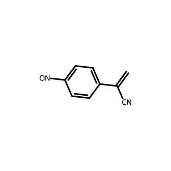 C=C(C#N)c1ccc(N=O)cc1